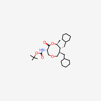 C[C@@H]1OC(=O)[C@@H](NC(=O)OC(C)(C)C)COC[C@H](CC2CCCCC2)[C@H]1CC1CCCCC1